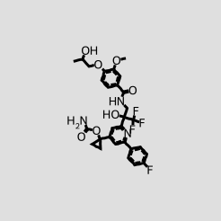 COc1cc(C(=O)NCC(O)(c2cc(C3(OC(N)=O)CC3)cc(-c3ccc(F)cc3)n2)C(F)(F)F)ccc1OCC(C)O